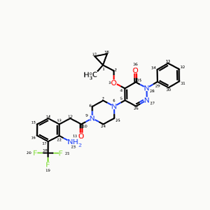 CC1(COc2c(N3CCN(C(=O)Cc4cccc(C(F)(F)F)c4N)CC3)cnn(-c3ccccc3)c2=O)CC1